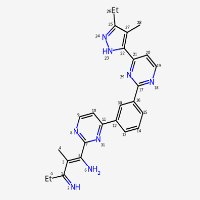 CCC(=N)/C(C)=C(\N)c1nccc(-c2cccc(-c3nccc(-c4[nH]nc(CC)c4C)n3)c2)n1